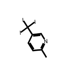 Cc1ccc(C(I)(I)I)cn1